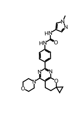 Cn1cc(NC(=O)Nc2ccc(-c3nc4c(c(N5CCOCC5)n3)CCC3(CC3)O4)cc2)cn1